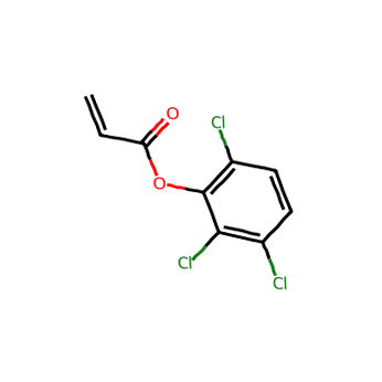 C=CC(=O)Oc1c(Cl)ccc(Cl)c1Cl